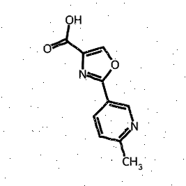 Cc1ccc(-c2nc(C(=O)O)co2)cn1